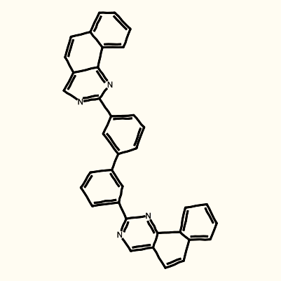 c1cc(-c2cccc(-c3ncc4ccc5ccccc5c4n3)c2)cc(-c2ncc3ccc4ccccc4c3n2)c1